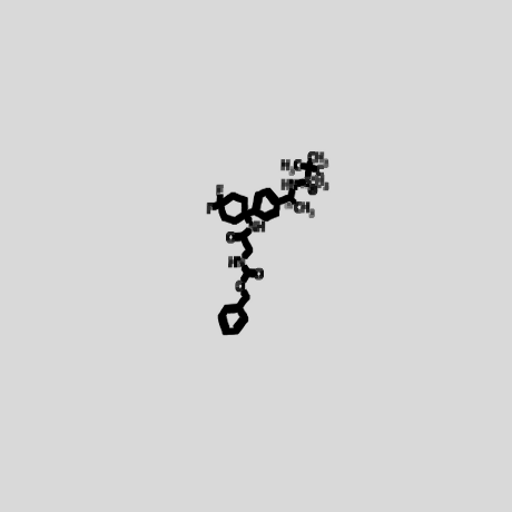 C[C@H](N[S@@+]([O-])C(C)(C)C)c1ccc(C2(NC(=O)CNC(=O)OCc3ccccc3)CCC(F)(F)CC2)cc1